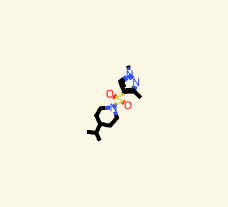 Cc1nn(C)cc1S(=O)(=O)N1CCC(C(C)C)CC1